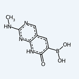 CNc1ncc2cc(B(O)O)c(=O)[nH]c2n1